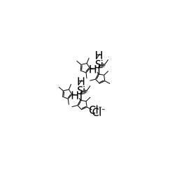 CC[SiH](CC)[Hf+]([C]1=C(C)C=C(C)C1C)[C]1=C(C)C=C(C)C1C.CC[SiH](CC)[Hf+]([C]1=C(C)C=C(C)C1C)[C]1=C(C)C=C(C)C1C.[Cl-].[Cl-]